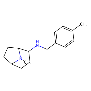 Cc1ccc(CNC2CCC3CCC2N3C)cc1